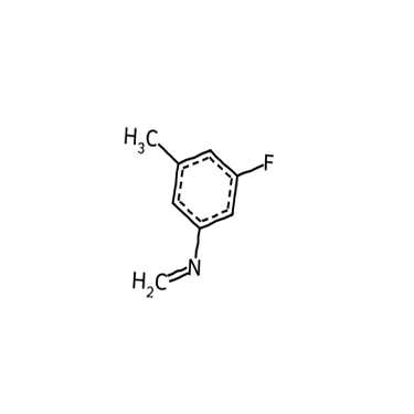 C=Nc1cc(C)cc(F)c1